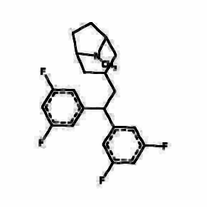 CN1C2CCC1CC(CC(c1cc(F)cc(F)c1)c1cc(F)cc(F)c1)C2